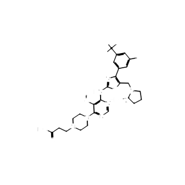 COc1c(Nc2nc(-c3cc(F)cc(C(F)(F)F)c3)c(CN3CCC[C@H]3C)s2)ncnc1N1CCN(CCC(=O)O)CC1